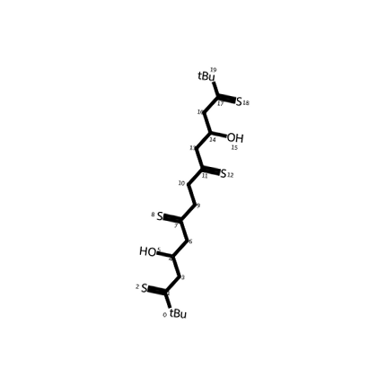 CC(C)(C)C(=S)CC(O)CC(=S)CCC(=S)CC(O)CC(=S)C(C)(C)C